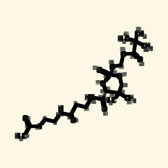 CC(=O)SCCNC(=O)CCNC(=O)[C@@H]1O[P@@](=O)(OCOC(=O)C(C)(C)C)OCC1(C)C